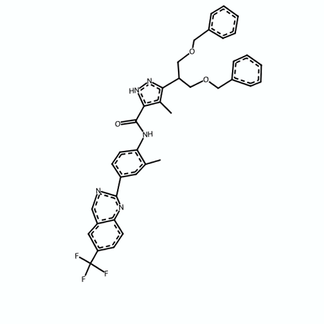 Cc1cc(-c2ncc3cc(C(F)(F)F)ccc3n2)ccc1NC(=O)c1[nH]nc(C(COCc2ccccc2)COCc2ccccc2)c1C